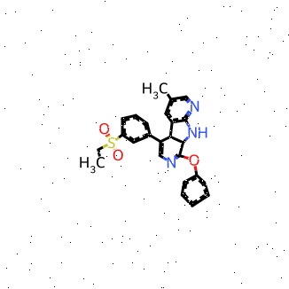 CCS(=O)(=O)c1cccc(C2=CN=C(Oc3ccccc3)C3Nc4ncc(C)cc4C23)c1